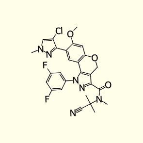 COc1cc2c(cc1-c1nn(C)cc1Cl)-c1c(c(C(=O)N(C)C(C)(C)C#N)nn1-c1cc(F)cc(F)c1)CO2